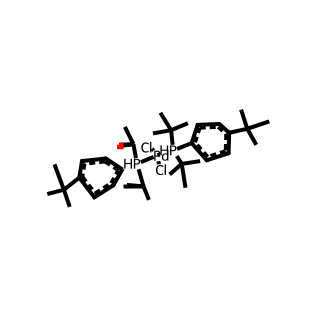 CC(C)(C)c1ccc([PH](C(C)(C)C)(C(C)(C)C)[Pd]([Cl])([Cl])[PH](c2ccc(C(C)(C)C)cc2)(C(C)(C)C)C(C)(C)C)cc1